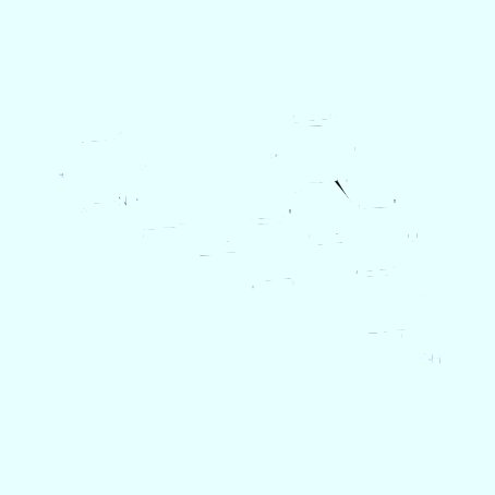 Oc1ccc2c(c1)OC[C@H](c1ccccc1)C2c1ccc(CCCN2CCCCC2)cc1